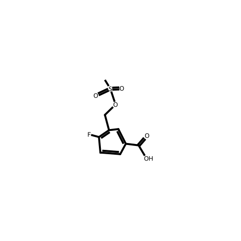 CS(=O)(=O)OCc1cc(C(=O)O)ccc1F